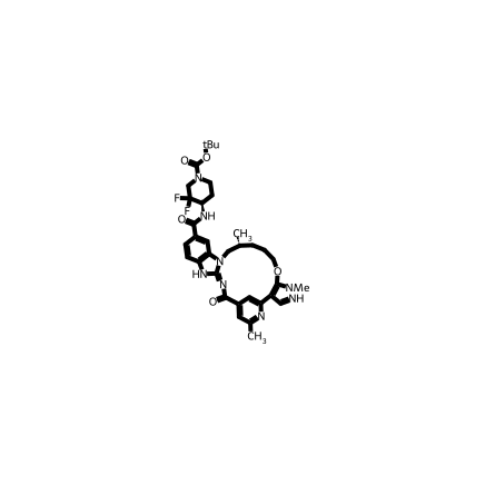 CN/C1=C(\C=N)c2cc(cc(C)n2)C(=O)/N=C2\Nc3ccc(C(=O)N[C@@H]4CCN(C(=O)OC(C)(C)C)CC4(F)F)cc3N2C[C@H](C)CCCO1